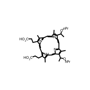 CCCOC(C)C1=C(C)c2cc3[nH]c(cc4nc(cc5[nH]c(cc1n2)c(C)c5CCC(=O)O)C(CCC(=O)O)=C4C)c(C)c3C(C)OCCC